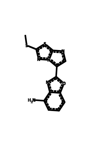 CSc1nn2c(-c3nc4c(N)cccc4o3)cnc2s1